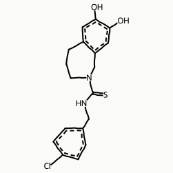 Oc1cc2c(cc1O)CN(C(=S)NCc1ccc(Cl)cc1)CCC2